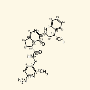 Cc1nc(N)ccc1CNC(=O)[C@@H]1CCc2cnc(NC[C@H](c3ccccc3)C(F)(F)F)c(=O)n21